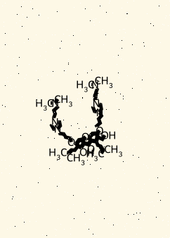 CC(C)=CCc1c(OCCCCN2CCN(CCCCN(C)C)CC2)cc2oc3cc(OCCCCN4CCN(CCCCN(C)C)CC4)c(CO)c(CC=C(C)C)c3c(=O)c2c1O